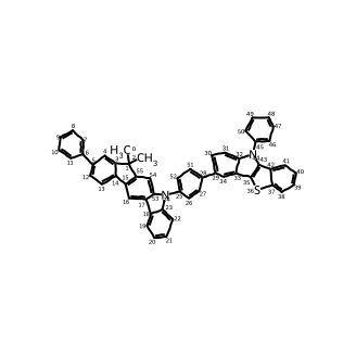 CC1(C)c2cc(-c3ccccc3)ccc2-c2cc3c4ccccc4n(-c4ccc(-c5ccc6c(c5)c5sc7ccccc7c5n6-c5ccccc5)cc4)c3cc21